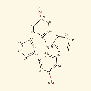 Brc1ccc(C(C2=CCC(Br)C=C2)(c2ccccc2)c2ccccc2)cc1